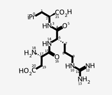 CC(C)C[C@H](NC(=O)[C@H](CCCNC(=N)N)NC(=O)[C@@H](N)CC(=O)O)C(=O)O